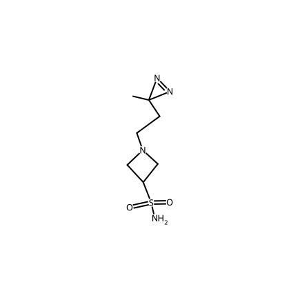 CC1(CCN2CC(S(N)(=O)=O)C2)N=N1